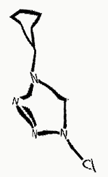 ClN1[CH]N(C2CC2)N=N1